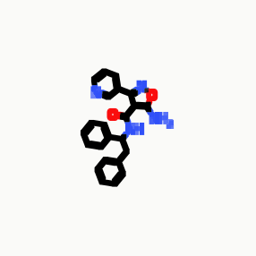 Nc1onc(-c2cccnc2)c1C(=O)NC(Cc1ccccc1)c1ccccc1